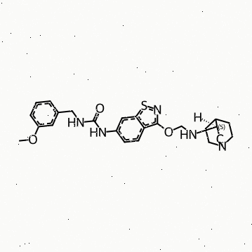 COc1cccc(CNC(=O)Nc2ccc3c(OCN[C@@H]4CN5CCC4CC5)nsc3c2)c1